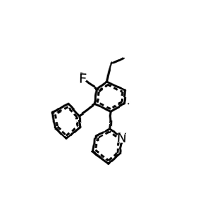 CCc1c[c]c(-c2ccccn2)c(-c2ccccc2)c1F